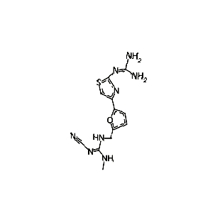 CN/C(=N/C#N)NCc1ccc(-c2csc(N=C(N)N)n2)o1